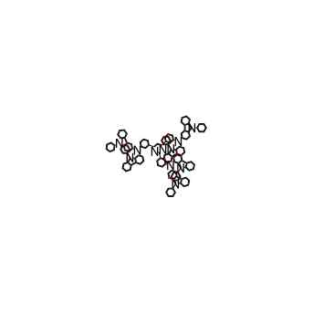 c1ccc(-n2c3ccccc3c3cc(N(c4cccc(-c5cc(-c6cccc(N(c7ccc8c(c7)c7ccccc7n8-c7ccccc7)c7cccc8c9ccccc9n(-c9ccccc9)c78)c6)nc(-c6cccc(N(c7ccc8c(c7)c7ccccc7n8-c7ccccc7)c7cccc8c9ccccc9n(-c9ccccc9)c78)c6)n5)c4)c4cccc5c6ccccc6n(-c6ccccc6)c45)ccc32)cc1